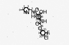 Cc1ccc(CNC(=O)C23CCC(NC(=O)COc4ccc(Cl)c(F)c4)(CC2)CC3O)nc1